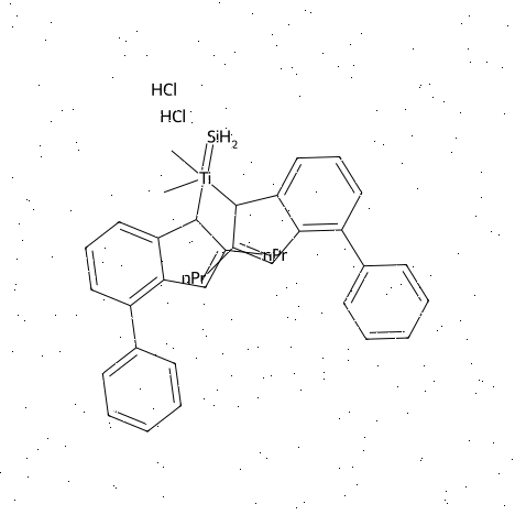 CCCC1=Cc2c(-c3ccccc3)cccc2[CH]1[Ti]([CH3])([CH3])(=[SiH2])[CH]1C(CCC)=Cc2c(-c3ccccc3)cccc21.Cl.Cl